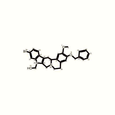 COc1cc2c(cc1OCc1ccccc1)CCN1Cc3c(c4ccc(Br)cc4n3CO)CC21